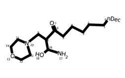 CCCCCCCCCCCCCCCC(=O)C(CN1CCOCC1)C(N)O